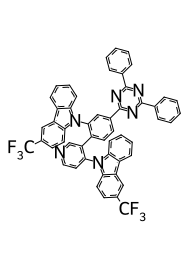 FC(F)(F)c1ccc2c(c1)c1ccccc1n2-c1ccncc1-c1ccc(-c2nc(-c3ccccc3)nc(-c3ccccc3)n2)cc1-n1c2ccccc2c2cc(C(F)(F)F)ccc21